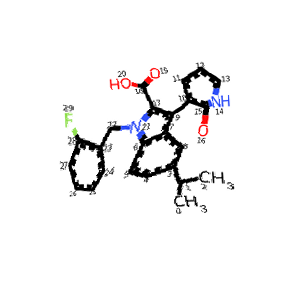 CC(C)c1ccc2c(c1)c(-c1ccc[nH]c1=O)c(C(=O)O)n2Cc1ccccc1F